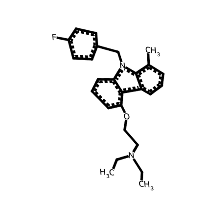 CCN(CC)CCOc1cccc2c1c1cccc(C)c1n2Cc1ccc(F)cc1